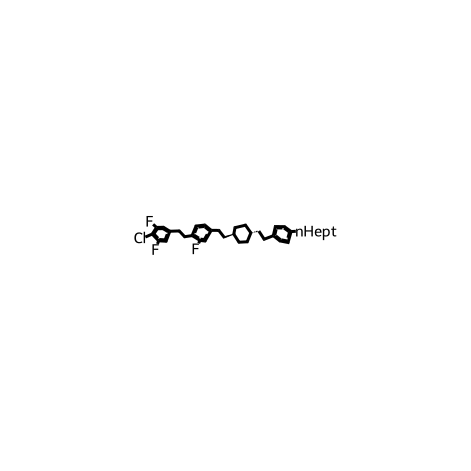 CCCCCCCc1ccc(CC[C@H]2CC[C@H](CCc3ccc(CCc4cc(F)c(Cl)c(F)c4)c(F)c3)CC2)cc1